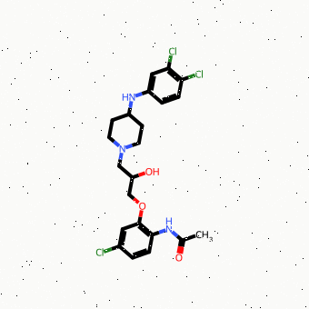 CC(=O)Nc1ccc(Cl)cc1OCC(O)CN1CCC(Nc2ccc(Cl)c(Cl)c2)CC1